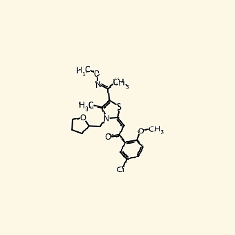 CO/N=C(\C)C1=C(C)N(CC2CCCO2)C(=CC(=O)c2cc(Cl)ccc2OC)S1